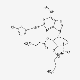 CCCNc1nc(C#Cc2ccc(Cl)s2)nc2c1ncn2[C@H]1C(OC(=O)CCC(=O)O)C(OC(=O)CCC(=O)O)[C@]2(C(=O)NC)CC12